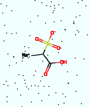 CC(C(=O)O)S(=O)(=O)[O-].[Na+]